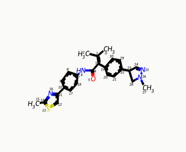 CC(C)=C(C(=O)Nc1ccc(-c2csc(C)n2)cc1)c1ccc(C2C=NN(C)C2)cc1